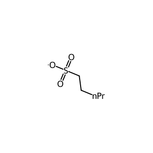 CCCCCS([O])(=O)=O